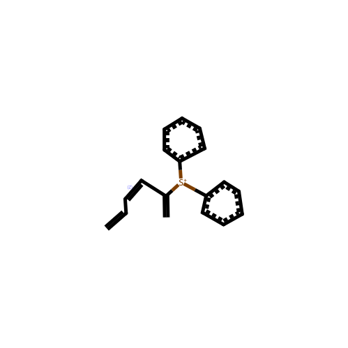 C=C/C=C\C(=C)[S+](c1ccccc1)c1ccccc1